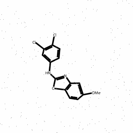 COc1ccc2oc(Nc3ccc(Cl)c(Cl)c3)nc2c1